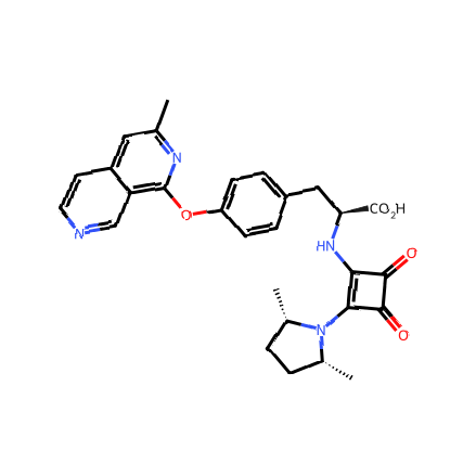 Cc1cc2ccncc2c(Oc2ccc(C[C@H](Nc3c(N4[C@H](C)CC[C@@H]4C)c(=O)c3=O)C(=O)O)cc2)n1